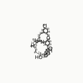 C[C@@H]1C[C@H]2C/C=C/C[C@@H](O)[C@@H](C)S(=O)(=O)NC(=O)c3ccc4c(c3)N(CCCCc3cc(Cl)ccc3CO4)C[C@@H]21